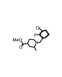 COC(=O)C1CCN(Cc2cccc(Cl)c2F)C(C)C1